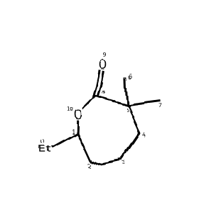 CCC1CCCC(C)(C)C(=O)O1